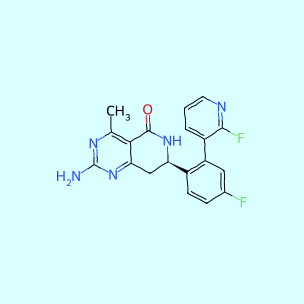 Cc1nc(N)nc2c1C(=O)N[C@@H](c1ccc(F)cc1-c1cccnc1F)C2